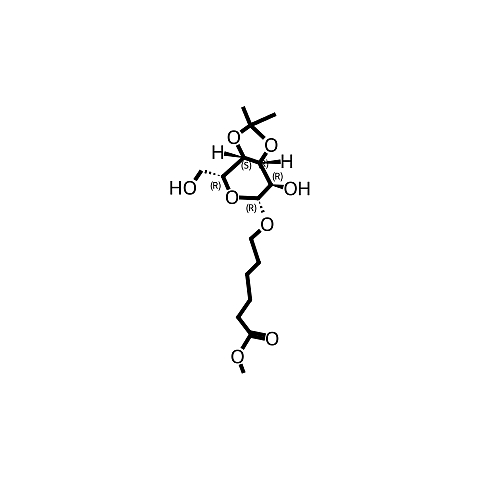 COC(=O)CCCCCO[C@@H]1O[C@H](CO)[C@@H]2OC(C)(C)O[C@@H]2[C@H]1O